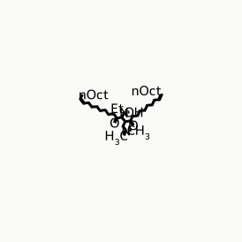 CCCCCCCC/C=C\CCCCCCCC(=O)C(CN(C)C)C(C(=O)CCCCCCC/C=C\CCCCCCCC)N(O)CC